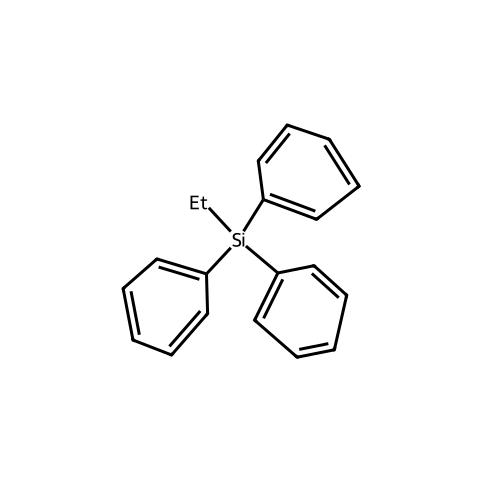 CC[Si](c1ccccc1)(c1ccccc1)c1ccccc1